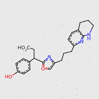 O=C(O)CC(c1ccc(O)cc1)c1nc(CCCc2ccc3c(n2)NCCC3)co1